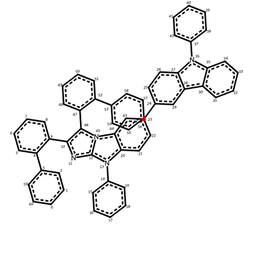 c1ccc(-c2ccccc2-c2nc3n(-c4ccccc4)c4ccc(-c5ccc6c(c5)c5ccccc5n6-c5ccccc5)cc4n3c2-c2ccccc2-c2ccccc2)cc1